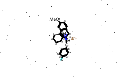 Br.COc1ccc2c(c1)[C@@]13CCCC[C@H]1[C@@H](C2)N(Cc1ccc(F)cc1)CC3